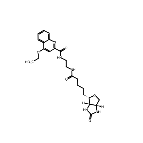 O=C(O)COc1cc(C(=O)NCCNC(=O)CCCC[C@@H]2SC[C@@H]3NC(=O)N[C@@H]32)nc2ccccc12